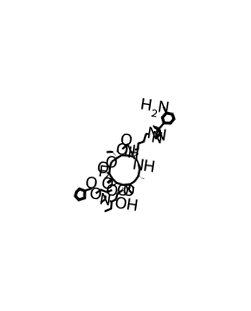 CCC(C(O)[C@@H](OCCOC(=O)c1ccccc1)O[C@@H]1[C@@H](C)C(=O)[C@](C)(F)C(=O)O[C@H](CC)[C@@]2(C)OC(=O)N(CCCCn3cc(-c4cccc(N)c4)nn3)[C@@H]2[C@@H](C)NC[C@H](C)C[C@@]1(C)OC)N(C)C